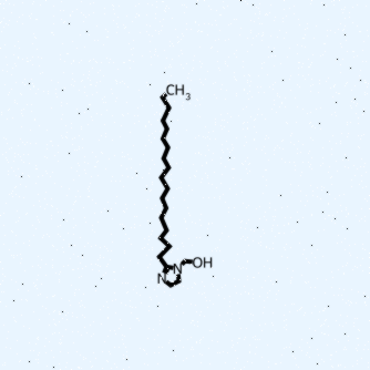 CCCCCCCCCCCCCCCCCCC1=NCCN1CO